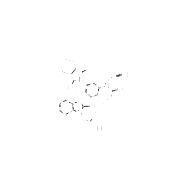 C#CCN1C(=O)COc2cc(F)c(N3C(=O)C4=C(CCCC4)C3=O)cc21.O=C(O)Cn1c(=O)sc2cccc(Cl)c21